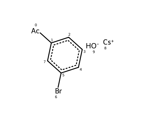 CC(=O)c1cccc(Br)c1.[Cs+].[OH-]